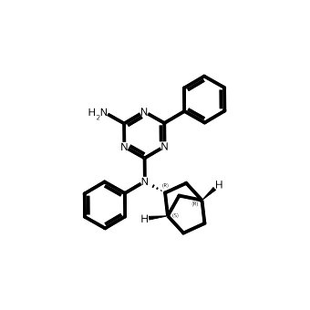 Nc1nc(-c2ccccc2)nc(N(c2ccccc2)[C@@H]2C[C@@H]3CC[C@H]2C3)n1